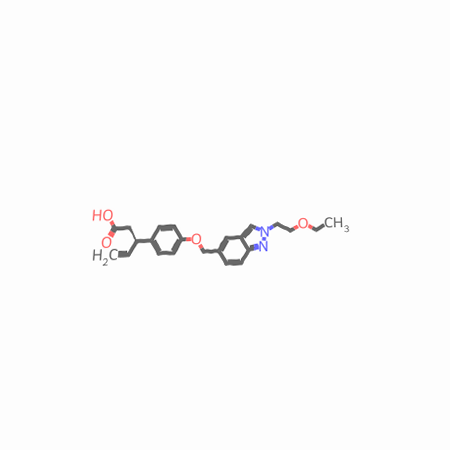 C=C[C@@H](CC(=O)O)c1ccc(OCc2ccc3nn(CCOCC)cc3c2)cc1